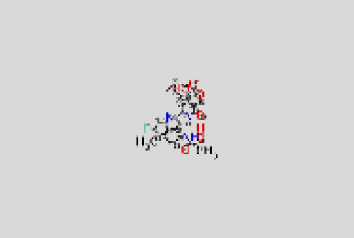 Cc1c(F)cc2nc3c(c4c2c1CC[C@@H]4NC(=O)[C@@H](C)O)Cn1c-3cc2c(c1=O)COC(=O)[C@]2(O)CC1CC1